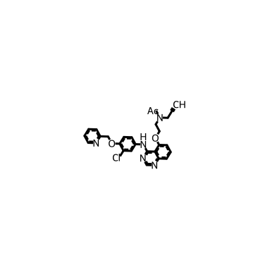 C#CCN(CCOc1cccc2ncnc(Nc3ccc(OCc4ccccn4)c(Cl)c3)c12)C(C)=O